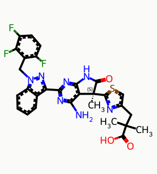 CC(C)(Cc1csc([C@]2(C)C(=O)Nc3nc(-c4nn(Cc5c(F)ccc(F)c5F)c5ccccc45)nc(N)c32)n1)C(=O)O